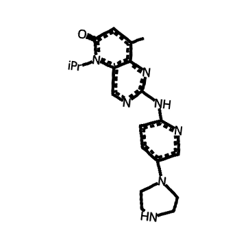 Cc1cc(=O)n(C(C)C)c2cnc(Nc3ccc(N4CCNCC4)cn3)nc12